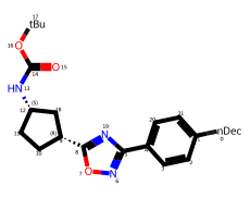 CCCCCCCCCCc1ccc(-c2noc([C@@H]3CC[C@H](NC(=O)OC(C)(C)C)C3)n2)cc1